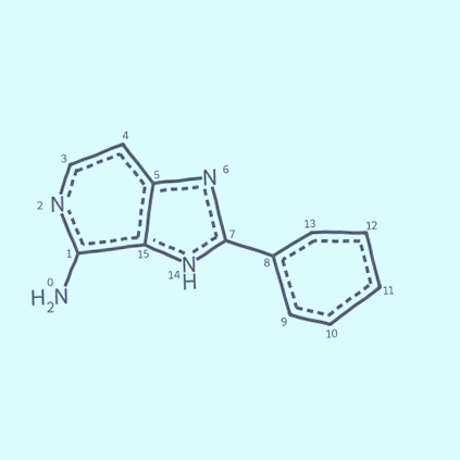 Nc1nccc2nc(-c3ccccc3)[nH]c12